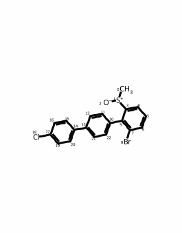 C[S+]([O-])c1cccc(Br)c1-c1ccc(-c2ccc(Cl)cc2)cc1